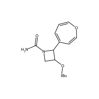 CC(C)(C)OC1CN(C(N)=O)C1C1=CC=COC=C1